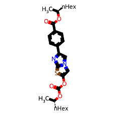 CCCCCC[C@H](C)OC(=O)Oc1cn2cc(-c3ccc(C(=O)O[C@@H](C)CCCCCC)cc3)nc2s1